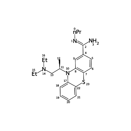 CCCN=C(N)c1ccc2c(c1)N([C@H](C)CN(CC)CC)c1ccccc1S2